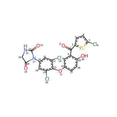 O=C(c1ccc(Cl)s1)c1cc(Oc2c(Cl)cc(N3C(=O)CNC3=O)cc2Cl)ccc1O